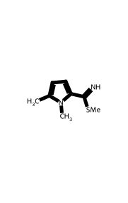 CSC(=N)c1ccc(C)n1C